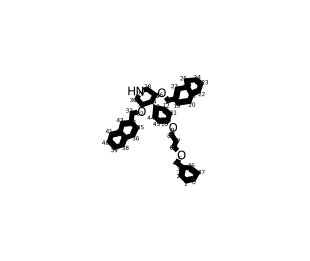 c1ccc(COCCCOc2ccc([C@H]3[C@@H](OCc4ccc5ccccc5c4)CNC[C@H]3OCc3ccc4ccccc4c3)cc2)cc1